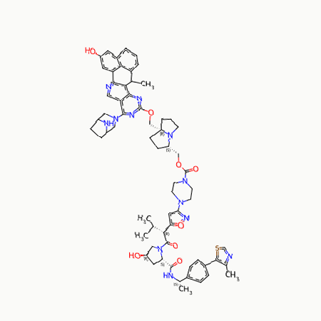 Cc1ncsc1-c1ccc([C@H](C)NC(=O)[C@@H]2C[C@@H](O)CN2C(=O)[C@@H](c2cc(N3CCN(C(=O)OC[C@@H]4CC[C@@]5(COc6nc(N7CC8CCC(C7)N8)c7cnc8c(c7n6)C(C)c6cccc7cc(O)cc-8c67)CCCN45)CC3)no2)C(C)C)cc1